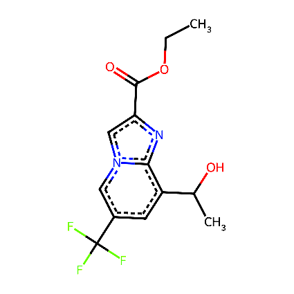 CCOC(=O)c1cn2cc(C(F)(F)F)cc(C(C)O)c2n1